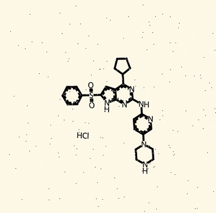 Cl.O=S(=O)(c1ccccc1)c1cc2c(C3CCCC3)nc(Nc3ccc(N4CCNCC4)cn3)nc2[nH]1